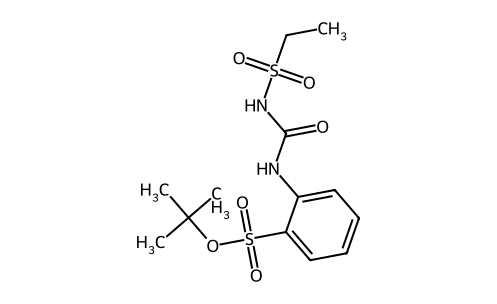 CCS(=O)(=O)NC(=O)Nc1ccccc1S(=O)(=O)OC(C)(C)C